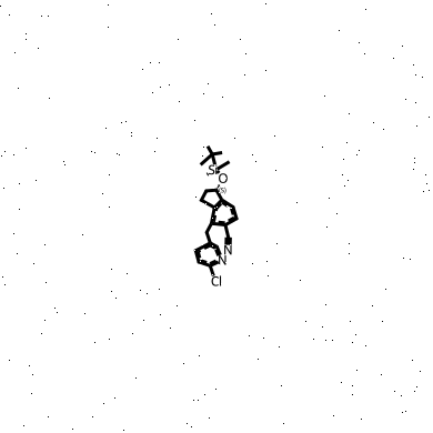 CC(C)(C)[Si](C)(C)O[C@H]1CCc2c1ccc(C#N)c2Cc1ccc(Cl)nc1